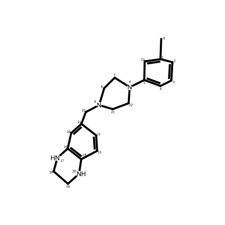 Cc1cccc(N2CCN(Cc3ccc4c(c3)NCCN4)CC2)c1